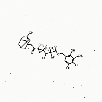 CCCC(C)(C(=O)OCc1cc(C)c(O)c(C)c1O)C(CC)C1(C)CC1(C)C(=O)OC12CC3CC(CC(O)(C3)C1)C2